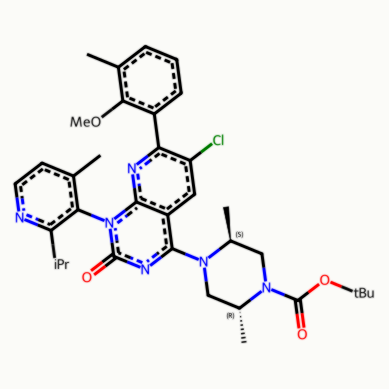 COc1c(C)cccc1-c1nc2c(cc1Cl)c(N1C[C@@H](C)N(C(=O)OC(C)(C)C)C[C@@H]1C)nc(=O)n2-c1c(C)ccnc1C(C)C